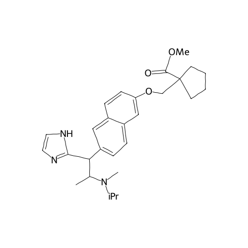 COC(=O)C1(COc2ccc3cc(C(c4ncc[nH]4)C(C)N(C)C(C)C)ccc3c2)CCCC1